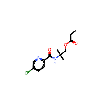 CCC(=O)OCC(C)(C)NC(=O)c1ccc(Cl)cn1